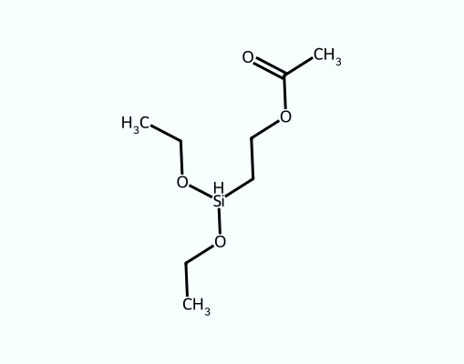 CCO[SiH](CCOC(C)=O)OCC